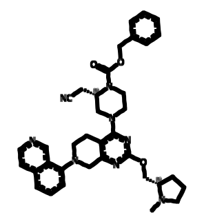 CN1CCC[C@H]1COc1nc2c(c(N3CCN(C(=O)OCc4ccccc4)[C@@H](CC#N)C3)n1)CCN(c1cccc3ccncc13)C2